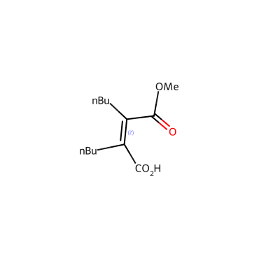 CCCC/C(C(=O)O)=C(\CCCC)C(=O)OC